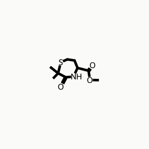 COC(=O)C1CCSC(C)(C)C(=O)N1